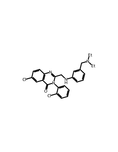 CCN(CC)Cc1cccc(NCc2nc3ccc(Cl)cc3c(=O)n2-c2ccccc2Cl)c1